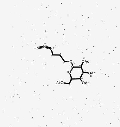 CC(=O)OCC1O[C@@H](OCCCN=[N+]=[N-])C(OC(C)=O)[C@@H](OC(C)=O)[C@H]1OC(C)=O